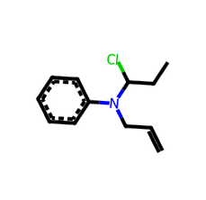 C=CCN(c1ccccc1)C(Cl)CC